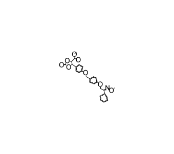 CON=C(COc1ccc(COc2ccc(C3OC(=O)OC3C(=O)OC)cc2)cc1)c1ccccc1